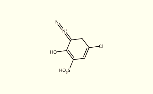 [N-]=[N+]=C1CC(Cl)=CC(S(=O)(=O)O)=C1O